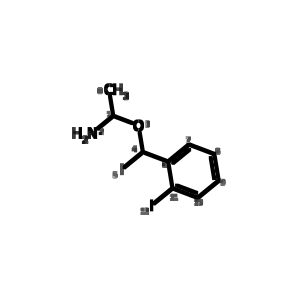 CC(N)OC(I)c1ccccc1I